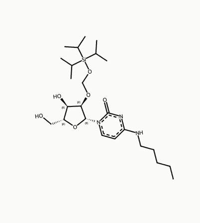 CCCCCNc1ccn([C@@H]2O[C@H](CO)[C@@H](O)[C@H]2OCO[Si](C(C)C)(C(C)C)C(C)C)c(=O)n1